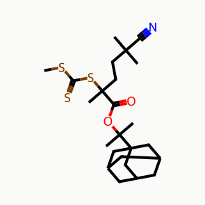 CSC(=S)SC(C)(CCC(C)(C)C#N)C(=O)OC(C)(C)C12CC3CC(CC(C3)C1)C2